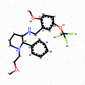 COCCN1CCCC(NCc2cc(OC(F)(F)F)ccc2OC)C1c1ccccc1